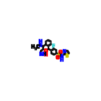 CN/C(=C\C=N)c1ccccc1C(O)c1ccc(S(=O)(=O)Nc2nccs2)cc1F